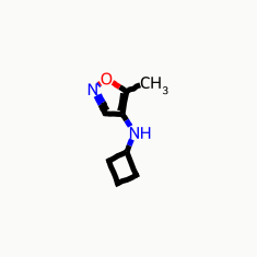 Cc1oncc1NC1CCC1